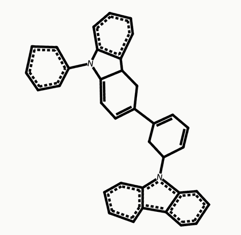 C1=CC(n2c3ccccc3c3ccccc32)CC(C2=CC=C3C(C2)c2ccccc2N3c2ccccc2)=C1